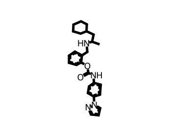 CC(CC1CCCCC1)NCc1ccccc1OC(=O)Nc1ccc(-n2cccn2)cc1